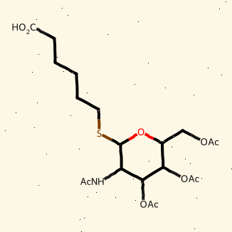 CC(=O)NC1C(SCCCCCC(=O)O)OC(COC(C)=O)C(OC(C)=O)C1OC(C)=O